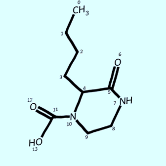 CCCCC1C(=O)NCCN1C(=O)O